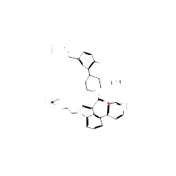 Cl.Cl.NCc1ccc(F)c(C2CCN(C(=O)c3cn(CCOC(F)(F)F)c4cccc(-c5ccncc5)c34)CC2)c1